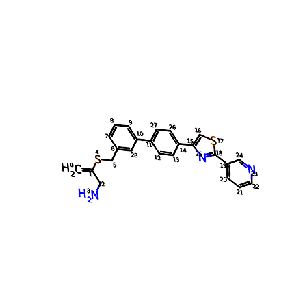 C=C(CN)SCc1cccc(-c2ccc(-c3csc(-c4cccnc4)n3)cc2)c1